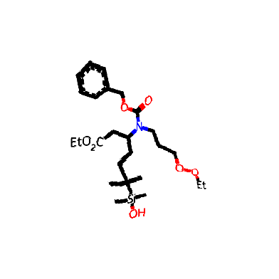 CCOOCCCN(C(=O)OCc1ccccc1)C(CCC(C)(C)[Si](C)(C)O)CC(=O)OCC